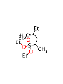 C=C(CC)CC(C)[Si](OCC)(OCC)OCC